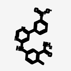 Cc1ccc(Nc2cc(-c3cccc([N+](=O)[O-])c3)ncn2)cc1C(N)=O